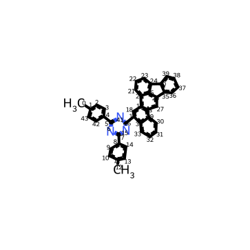 Cc1ccc(-c2nc(-c3ccc(C)cc3)nc(-c3cc4c5cccc6c5c(cc4c4ccccc34)-c3ccccc3-6)n2)cc1